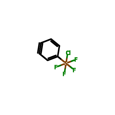 FS(F)(F)(F)(Cl)c1cc#ccc1